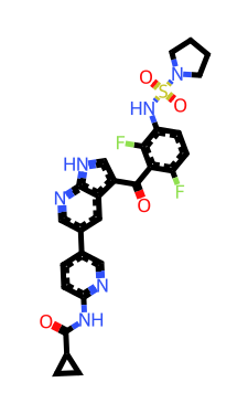 O=C(c1c(F)ccc(NS(=O)(=O)N2CCCC2)c1F)c1c[nH]c2ncc(-c3ccc(NC(=O)C4CC4)nc3)cc12